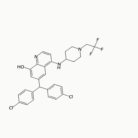 Oc1cc(C(c2ccc(Cl)cc2)c2ccc(Cl)cc2)cc2c(NC3CCN(CC(F)(F)F)CC3)ccnc12